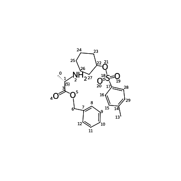 C[C@H](N)C(=O)OCc1ccccc1.Cc1ccc(S(=O)(=O)OC2CCCCC2)cc1